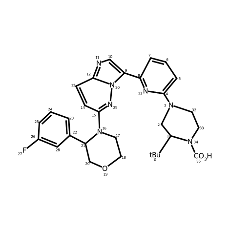 CC(C)(C)C1CN(c2cccc(-c3cnc4ccc(N5CCOCC5c5cccc(F)c5)nn34)n2)CCN1C(=O)O